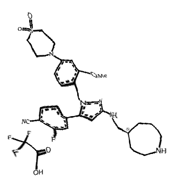 COc1cc(N2CCS(=O)(=O)CC2)ccc1-n1nc(NC[C@H]2CCCNCC2)cc1-c1ccc(C#N)c(F)c1.O=C(O)C(F)(F)F